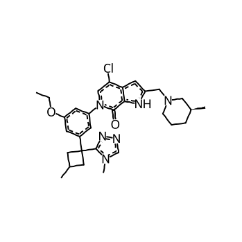 CCOc1cc(-n2cc(Cl)c3cc(CN4CCC[C@H](C)C4)[nH]c3c2=O)cc(C2(c3nncn3C)CC(C)C2)c1